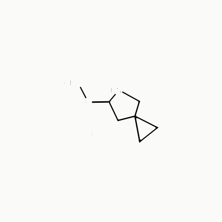 Cl.O=COC1CC2(CC2)CN1